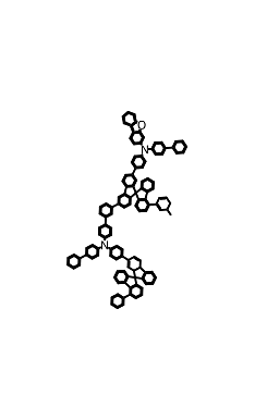 CC1C=C(c2cccc3c2-c2ccccc2C32c3ccc(-c4cccc(-c5ccc(N(c6ccc(C7=CC8C(C=C7)c7ccccc7C87c8ccccc8-c8c(-c9ccccc9)cccc87)cc6)c6ccc(-c7ccccc7)cc6)cc5)c4)cc3-c3ccc(-c4ccc(N(c5ccc(-c6ccccc6)cc5)c5ccc6c(c5)oc5ccccc56)cc4)cc32)C=CC1